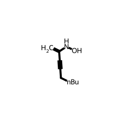 C=C(C#CCCCCC)NO